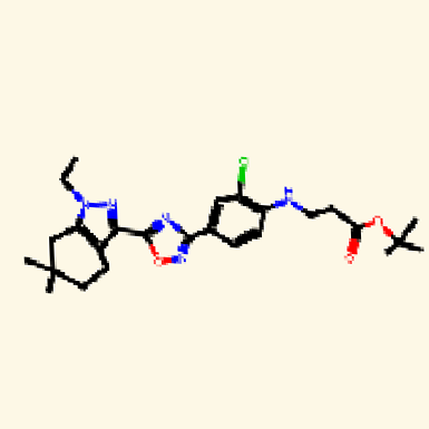 CCn1nc(-c2nc(-c3ccc(NCCC(=O)OC(C)(C)C)c(Cl)c3)no2)c2c1CC(C)(C)CC2